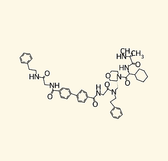 CN[C@@H](C)C(=O)N[C@H](C(=O)N1CCOC[C@H]1CN(CCc1ccccc1)C(=O)CNC(=O)c1ccc(-c2ccc(C(=O)NCC(=O)NCCc3ccccc3)cc2)cc1)C1CCCCC1